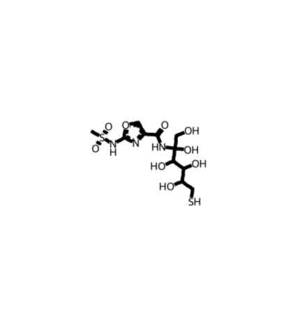 CS(=O)(=O)Nc1nc(C(=O)NC(O)(CO)C(O)C(O)C(O)CS)co1